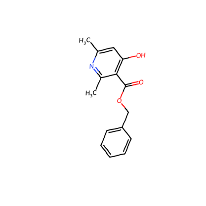 Cc1cc(O)c(C(=O)OCc2ccccc2)c(C)n1